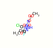 CCOC(=O)CCON=CCn1c(=O)[nH]c(=Nc2ccc(OC(C)C)c(F)c2)n(Cc2ccc(Cl)cc2)c1=O